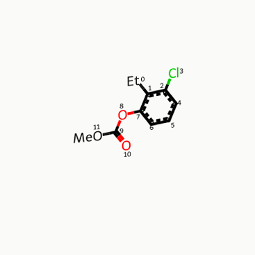 CCc1c(Cl)cccc1OC(=O)OC